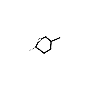 CC1CC[C@H](C)SC1